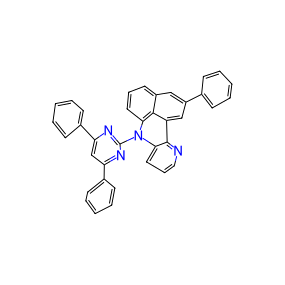 c1ccc(-c2cc3c4c(cccc4c2)N(c2nc(-c4ccccc4)cc(-c4ccccc4)n2)c2cccnc2-3)cc1